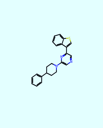 c1ccc(C2CCN(c3cncc(-c4csc5ccccc45)n3)CC2)cc1